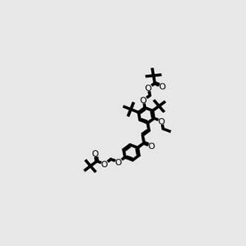 CCOc1c(/C=C/C(=O)c2ccc(OCOC(=O)C(C)(C)C)cc2)cc(C(C)(C)C)c(OCOC(=O)C(C)(C)C)c1C(C)(C)C